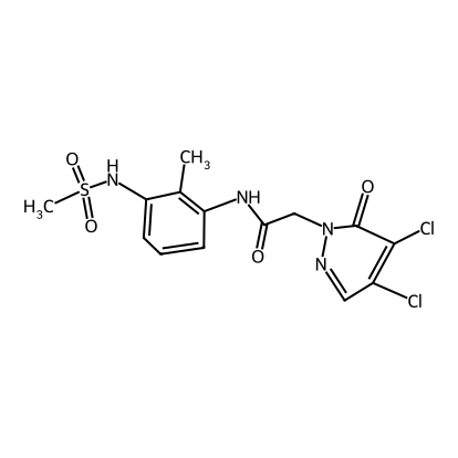 Cc1c(NC(=O)Cn2ncc(Cl)c(Cl)c2=O)cccc1NS(C)(=O)=O